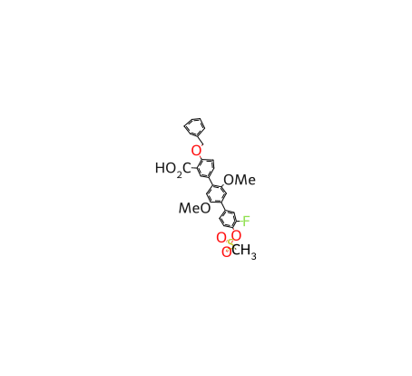 COc1cc(-c2ccc(OCc3ccccc3)c(C(=O)O)c2)c(OC)cc1-c1ccc(OS(C)(=O)=O)c(F)c1